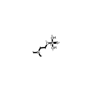 CN(C)CCOP(O)(O)=S